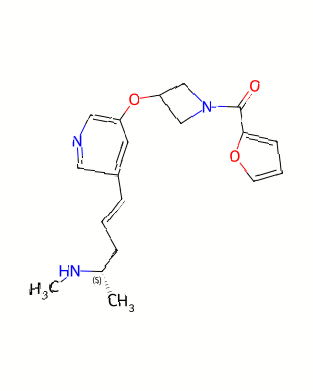 CN[C@@H](C)CC=Cc1cncc(OC2CN(C(=O)c3ccco3)C2)c1